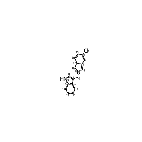 ClC1=CC2=CN(Cc3c[nH]c4ccccc34)CC2C=C1